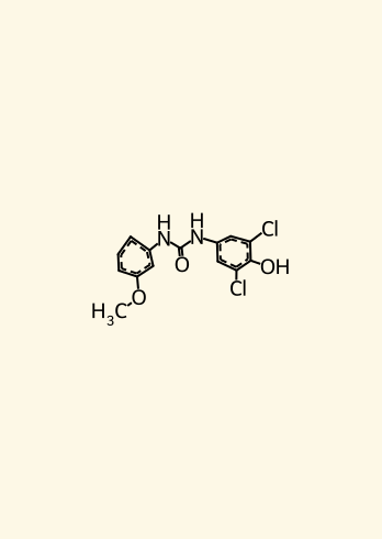 COc1cccc(NC(=O)Nc2cc(Cl)c(O)c(Cl)c2)c1